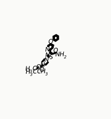 CC(C)(C)OC(=O)N1CCN(c2nc(-c3ccc(Oc4ccccc4)cn3)c(C(N)=O)s2)CC1